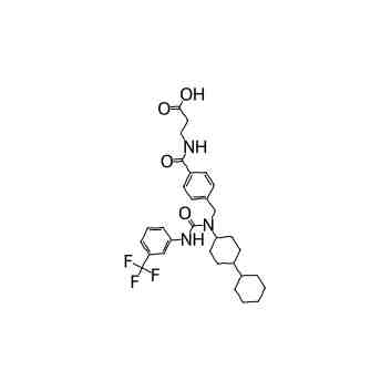 O=C(O)CCNC(=O)c1ccc(CN(C(=O)Nc2cccc(C(F)(F)F)c2)C2CCC(C3CCCCC3)CC2)cc1